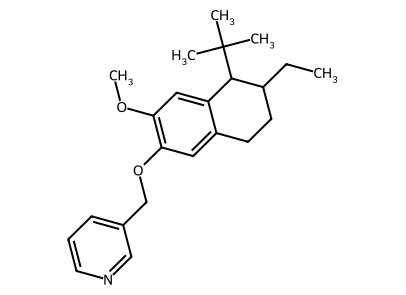 CCC1CCc2cc(OCc3cccnc3)c(OC)cc2C1C(C)(C)C